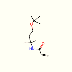 C=CC(=O)NC(C)(C)CCOC(C)(C)C